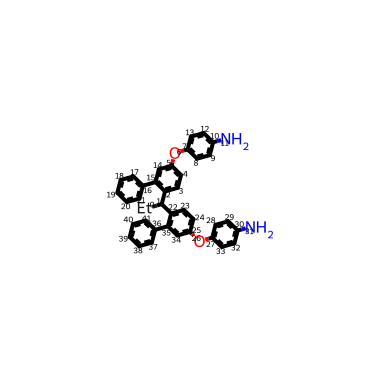 CCC(c1ccc(Oc2ccc(N)cc2)cc1-c1ccccc1)c1ccc(Oc2ccc(N)cc2)cc1-c1ccccc1